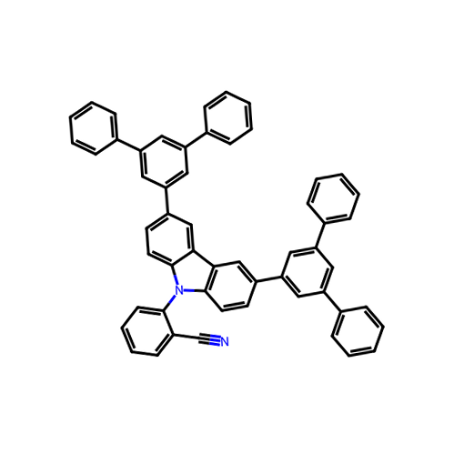 N#Cc1ccccc1-n1c2ccc(-c3cc(-c4ccccc4)cc(-c4ccccc4)c3)cc2c2cc(-c3cc(-c4ccccc4)cc(-c4ccccc4)c3)ccc21